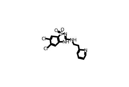 O=S1(=O)N=C(NCCc2ccccn2)Nc2cc(Cl)c(Cl)cc21